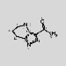 NC(=O)c1cnc2n1NCCC2